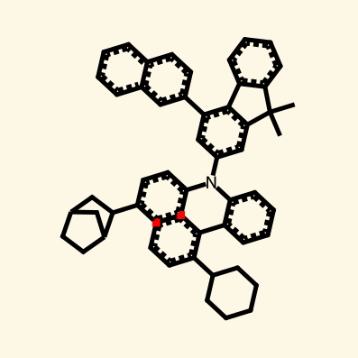 CC1(C)c2ccccc2-c2c(-c3ccc4ccccc4c3)cc(N(c3ccc(C4CC5CCC4C5)cc3)c3ccccc3-c3ccccc3C3CCCCC3)cc21